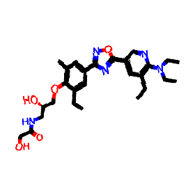 CCc1cc(-c2nc(-c3cc(C)c(OC[C@H](O)CNC(=O)CO)c(CC)c3)no2)cnc1N(CC)CC